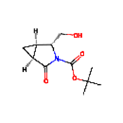 CC(C)(C)OC(=O)N1C(=O)[C@H]2C[C@H]2[C@@H]1CO